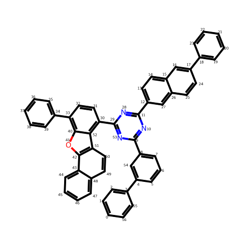 c1ccc(-c2cccc(-c3nc(-c4ccc5cc(-c6ccccc6)ccc5c4)nc(-c4ccc(-c5ccccc5)c5oc6c7ccccc7ccc6c45)n3)c2)cc1